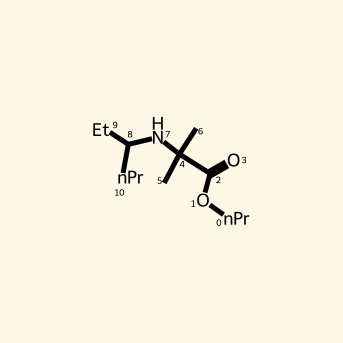 CCCOC(=O)C(C)(C)NC(CC)CCC